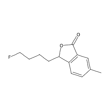 Cc1ccc2c(c1)C(=O)OC2CCCCF